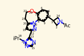 CC(=O)N1CC(c2ccc3c(c2)-n2nc(-c4ncnn4C(C)C)cc2CCO3)C1